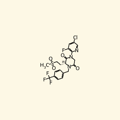 CS(=O)(=O)CC[C@@H]1C(=O)N(c2ncc(Cl)cc2F)CC(=O)N1Cc1ccc(C(F)(F)F)cc1